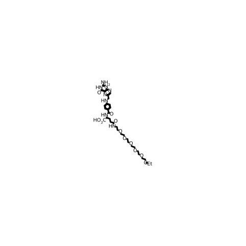 CCOCCOCCOCCOCCOCCOCCNC(=O)CC[C@H](NC(=O)c1ccc(NCc2cnc3nc(N)[nH]c(=O)c3n2)cc1)C(=O)O